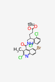 Cc1c(Cl)nc2ccc(Br)cc2c1C(=O)NCC(CCC(=O)OC(C)(C)C)c1c(Cl)cccc1Cl